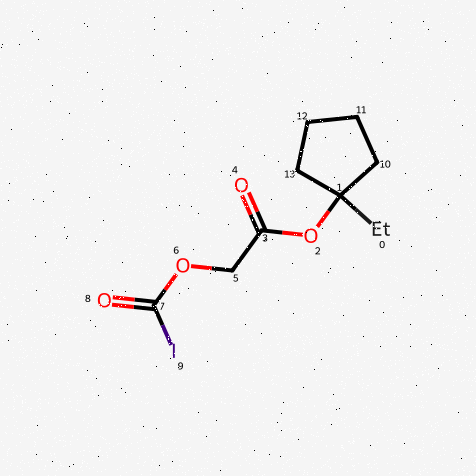 CCC1(OC(=O)COC(=O)I)CCCC1